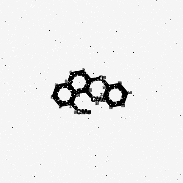 COc1cccc2ccc(Oc3ccccc3)c(OC)c12